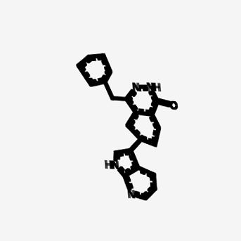 O=c1[nH]nc(Cc2ccccc2)c2cc(-c3c[nH]c4ncccc34)ccc12